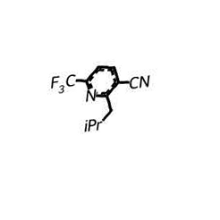 CC(C)Cc1nc(C(F)(F)F)ccc1C#N